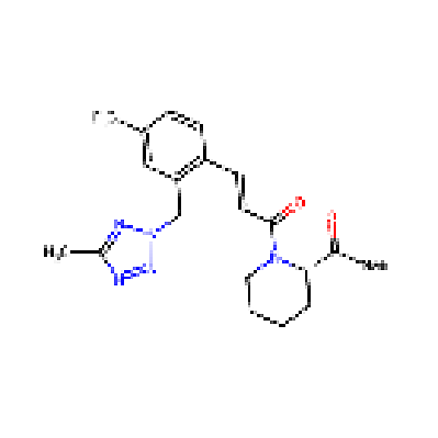 CNC(=O)[C@@H]1CCCCN1C(=O)/C=C/c1ccc(C(F)(F)F)cc1Cn1nnc(C)n1